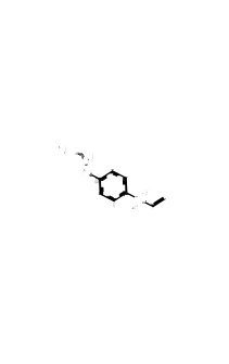 C=CS(=O)(=O)c1ccc(NNC#N)cc1